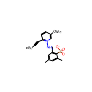 CCCCC#Cc1ccc(OC)c[n+]1N.Cc1cc(C)c(S(=O)(=O)[O-])c(C)c1